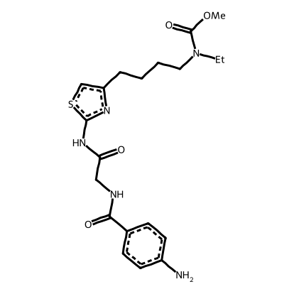 CCN(CCCCc1csc(NC(=O)CNC(=O)c2ccc(N)cc2)n1)C(=O)OC